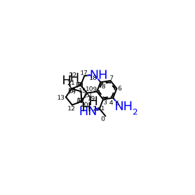 CC(=N)c1c(N)ccc2c1[C@H]1[C@@H]3CC[C@@H](C3)[C@H]1CN2